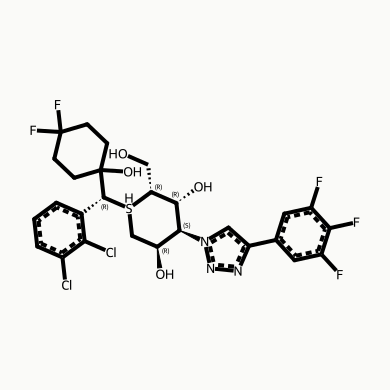 OC[C@@H]1[C@H](O)[C@@H](n2cc(-c3cc(F)c(F)c(F)c3)nn2)[C@@H](O)C[SH]1[C@H](c1cccc(Cl)c1Cl)C1(O)CCC(F)(F)CC1